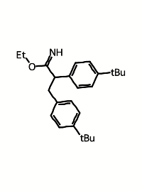 CCOC(=N)C(Cc1ccc(C(C)(C)C)cc1)c1ccc(C(C)(C)C)cc1